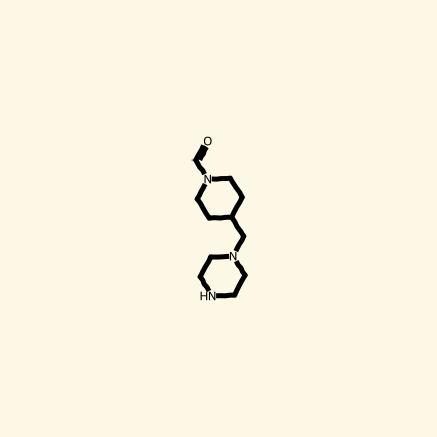 O=[C]N1CCC(CN2CCNCC2)CC1